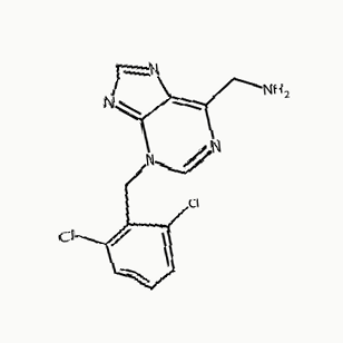 NCc1ncn(Cc2c(Cl)cccc2Cl)c2ncnc1-2